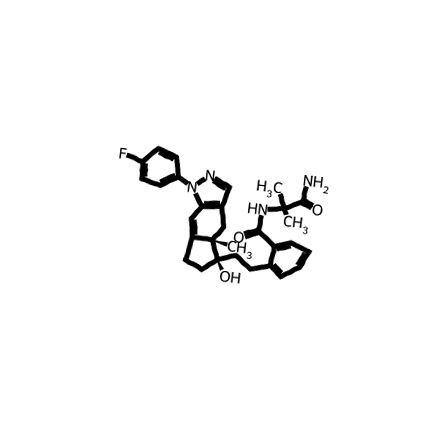 CC(C)(NC(=O)c1ccccc1CC[C@]1(O)CCC2=Cc3c(cnn3-c3ccc(F)cc3)C[C@@]21C)C(N)=O